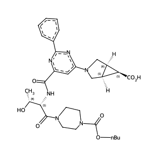 CCCCOC(=O)N1CCN(C(=O)[C@@H](NC(=O)c2cc(N3C[C@@H]4[C@H](C3)[C@@H]4C(=O)O)nc(-c3ccccc3)n2)[C@@H](C)O)CC1